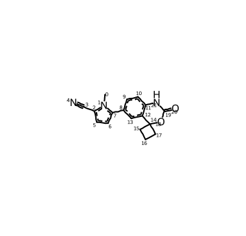 Cn1c(C#N)ccc1-c1ccc2c(c1)C1(CCC1)OC(=O)N2